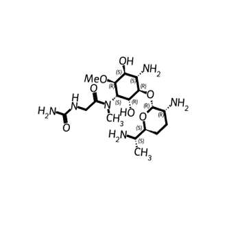 CO[C@H]1[C@@H](O)[C@H](N)[C@@H](O[C@H]2O[C@H]([C@H](C)N)CC[C@H]2N)[C@H](O)[C@@H]1N(C)C(=O)CNC(N)=O